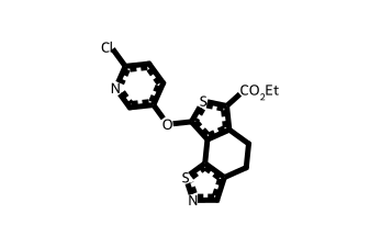 CCOC(=O)c1sc(Oc2ccc(Cl)nc2)c2c1CCc1cnsc1-2